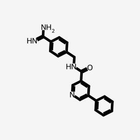 N=C(N)c1ccc(CNC(=O)c2cncc(-c3ccccc3)c2)cc1